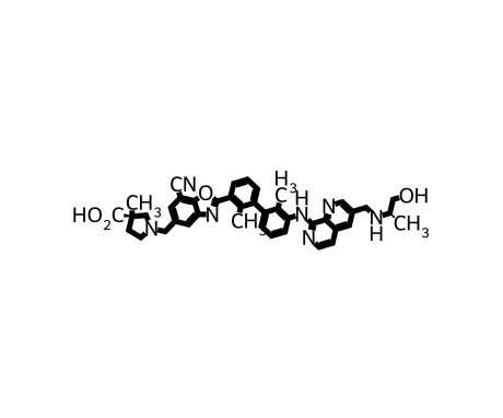 Cc1c(Nc2nccc3cc(CN[C@@H](C)CO)cnc23)cccc1-c1cccc(-c2nc3cc(CN4CC[C@@](C)(C(=O)O)C4)cc(C#N)c3o2)c1C